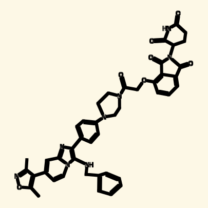 Cc1noc(C)c1-c1ccn2c(NCc3ccccc3)c(-c3ccc(N4CCN(C(=O)COc5cccc6c5C(=O)N(C5CCC(=O)NC5=O)C6=O)CC4)cc3)nc2c1